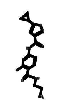 Cc1cc(NC(=O)c2cc(C3CC3)on2)ccc1C(=O)NCCN